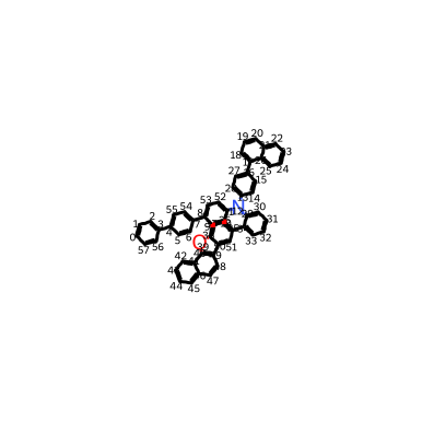 c1ccc(-c2ccc(-c3ccc(N(c4ccc(-c5cccc6ccccc56)cc4)c4ccccc4-c4ccc5oc6c7ccccc7ccc6c5c4)cc3)cc2)cc1